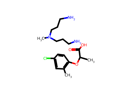 CN(CCCN)CCCN.Cc1cc(Cl)ccc1OC(C)C(=O)O